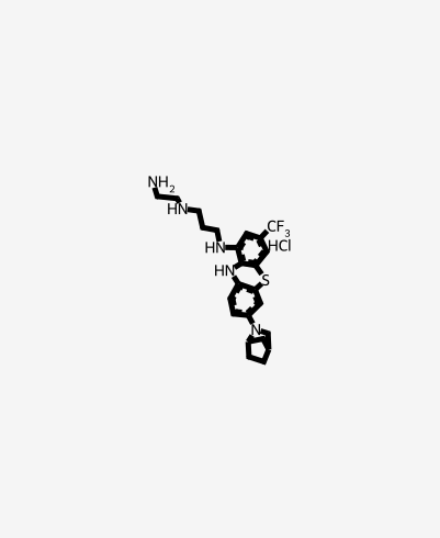 Cl.NCCNCCCNc1cc(C(F)(F)F)cc2c1Nc1ccc(N3CC4CCC3C4)cc1S2